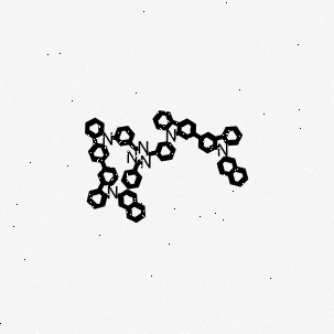 c1ccc(-c2nc(-c3cccc(-n4c5ccccc5c5ccc(-c6ccc7c(c6)c6ccccc6n7-c6ccc7ccccc7c6)cc54)c3)nc(-c3cccc(-n4c5ccccc5c5ccc(-c6ccc7c(c6)c6ccccc6n7-c6ccc7ccccc7c6)cc54)c3)n2)cc1